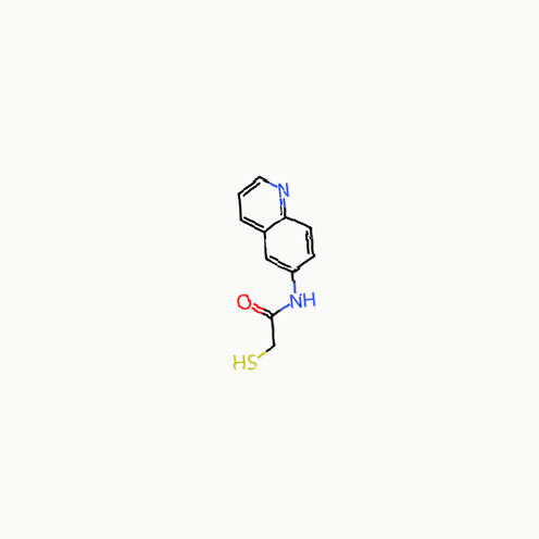 O=C(CS)Nc1ccc2ncccc2c1